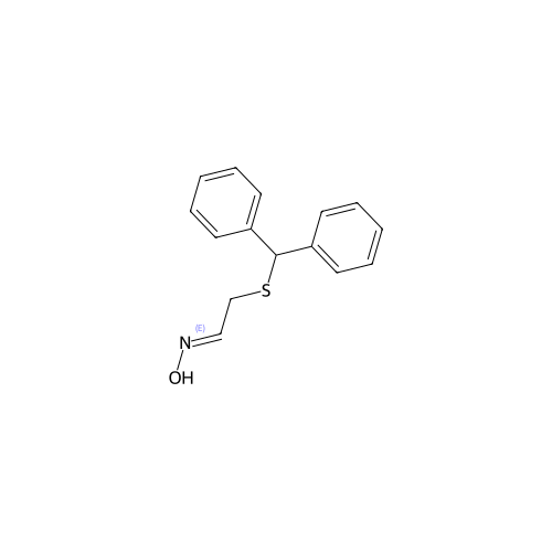 O/N=C/CSC(c1ccccc1)c1ccccc1